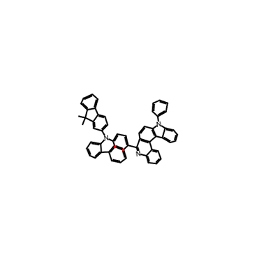 CC1(C)c2ccccc2-c2ccc(N(c3ccc(-c4nc5ccccc5c5c4ccc4c5c5ccccc5n4-c4ccccc4)cc3)c3ccccc3-c3ccccc3)cc21